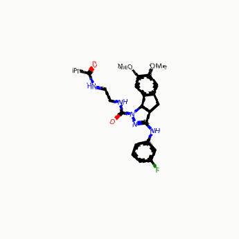 COc1cc2c(cc1OC)C1C(C2)C(Nc2cccc(F)c2)=NN1C(=O)NCCNC(=O)C(C)C